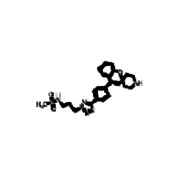 CS(=O)(=O)NCCCn1nnc(-c2ccc(C3=CC4(CCNCC4)Oc4ccccc43)cc2)n1